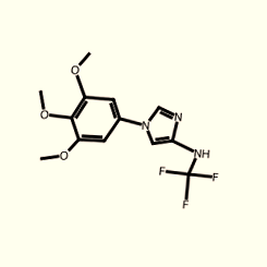 COc1cc(-n2cnc(NC(F)(F)F)c2)cc(OC)c1OC